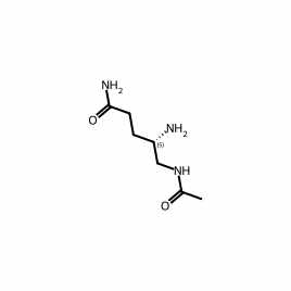 CC(=O)NC[C@@H](N)CCC(N)=O